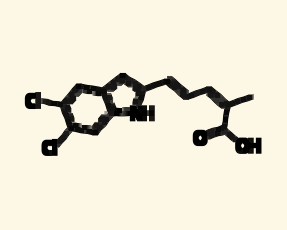 CC(=CC=Cc1cc2cc(Cl)c(Cl)cc2[nH]1)C(=O)O